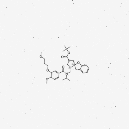 COCCCOc1cc(C(=O)N(C[C@@H]2CN(C(=O)OC(C)(C)C)C[C@@]23Cc2ccccc2O3)C(C)C)ccc1OC